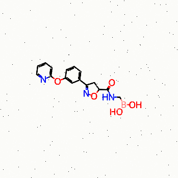 O=C(NCB(O)O)C1CC(c2cccc(Oc3ccccn3)c2)=NO1